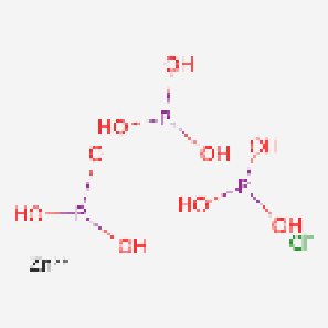 OP(O)O.OP(O)O.[Cl-].[O-]P(O)O.[Zn+2]